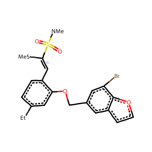 CCc1ccc(/C=C(\SC)S(=O)(=O)NC)c(OCc2cc(Br)c3occc3c2)c1